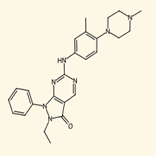 CCn1c(=O)c2cnc(Nc3ccc(N4CCN(C)CC4)c(C)c3)nc2n1-c1ccccc1